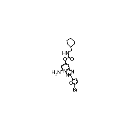 Nc1cc(OC(=O)NCC2CCCCC2)cc2nc(-c3ccc(Br)o3)nn12